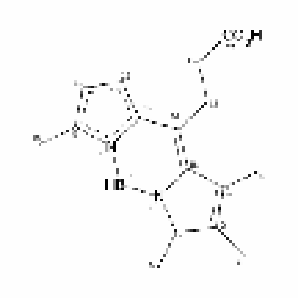 CC1=C(C)C(C)N2Bn3c(C)ccc3C(CCC(=O)O)=C12